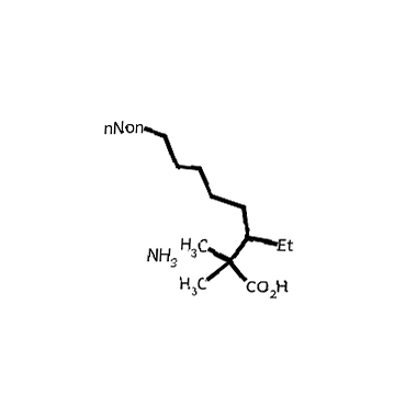 CCCCCCCCCCCCCCC(CC)C(C)(C)C(=O)O.N